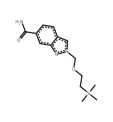 C[Si](C)(C)CCOCn1cc2ccc(C(N)=O)cc2n1